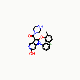 Cc1ccc(F)cc1Oc1c(C(=O)N2CCNCC2)c2cnc(O)cc2n1-c1ccccc1